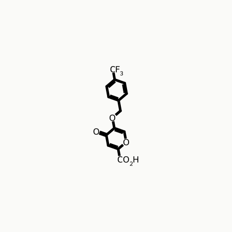 O=C(O)c1cc(=O)c(OCc2ccc(C(F)(F)F)cc2)co1